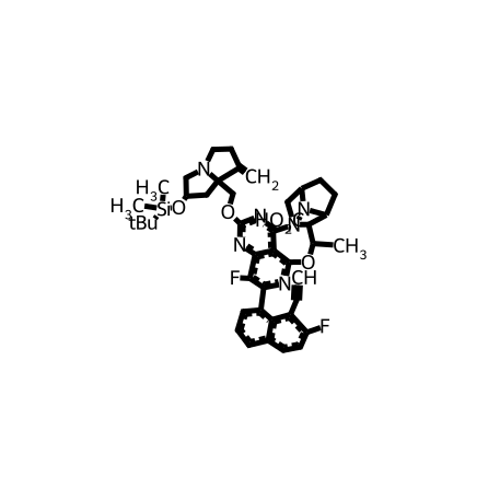 C#Cc1c(F)ccc2cccc(-c3nc4c5c(nc(OCC67CC(O[Si](C)(C)C(C)(C)C)CN6CCC7=C)nc5c3F)N3CC5CCC(C3C(C)O4)N5C(=O)O)c12